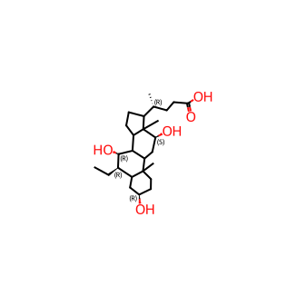 CC[C@@H]1C2C[C@H](O)CCC2(C)C2C[C@H](O)C3(C)C(CCC3[C@H](C)CCC(=O)O)C2[C@@H]1O